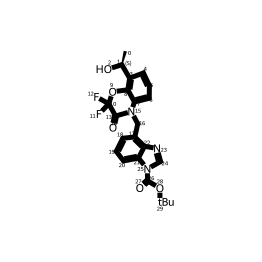 C[C@H](O)c1cccc2c1OC(F)(F)C(=O)N2Cc1cccc2c1ncn2C(=O)OC(C)(C)C